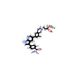 Cc1cc(-c2cnc3[nH]cc(-c4ccc(C(=O)N(C)C)cc4)c3c2)cc2c1CN(CCC(=O)OC(C)(C)C)CC2